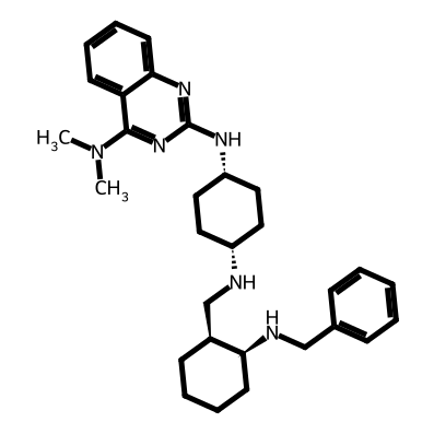 CN(C)c1nc(N[C@H]2CC[C@@H](NC[C@@H]3CCCC[C@@H]3NCc3ccccc3)CC2)nc2ccccc12